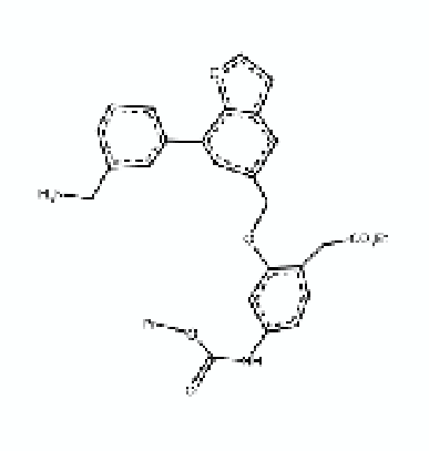 CCOC(=O)Cc1ccc(NC(=O)OC(C)C)cc1OCc1cc(-c2cccc(CN)c2)c2occc2c1